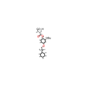 CC(C)(C)c1cc(OC[Si](C)(C)c2ccccc2)ccc1OC(=O)CCC(=O)O